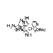 COc1cc(-c2cc3c(NC4CNCC4(C)C)c(C(N)=O)cnn3c2)ccn1.I